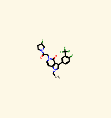 CCn1cc(-c2ccc(F)c(C(F)(F)F)c2)c2c(=O)n(CC(=O)N3CCC(F)C3)ccc21